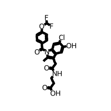 Cc1c(CC(=O)NCCC(=O)O)c2cc(O)c(Cl)cc2n1C(=O)c1ccc(OC(F)F)cc1